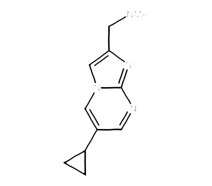 CNCc1cn2cc(C3CC3)cnc2n1